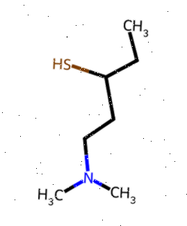 CCC(S)CCN(C)C